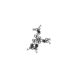 CC(C)Cc1ccc(-n2n3c4ccc(C(=O)OCC(COC(=O)c5ccc6c(c5)n5n(-c7ccc(CC(C)C)cc7O)n65)(COC(=O)c5ccc6c(c5)n5n(-c7ccc(CC(C)C)cc7O)n65)COC(=O)c5ccc6c(c5)n5n(-c7ccc(CC(C)C)cc7O)n65)cc4n23)c(O)c1